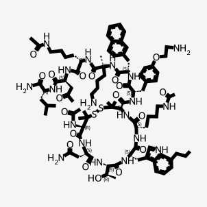 CCCc1cccc2c(C[C@@H]3NC(=O)[C@H]([C@@H](C)O)NC(=O)[C@H](CC(N)=O)NC(=O)[C@@H](NC(C)=O)C(C)(C)SSC(C)(C)[C@@H](C(=O)N[C@@H](Cc4ccc(OCCN)cc4)C(=O)N[C@@H](Cc4ccc5ccccc5c4)C(=O)N[C@@](C)(CCCCN)C(=O)N[C@@H](CCCCNC(C)=O)C(=O)N[C@@H](CC(C)=O)C(=O)N[C@H](CC(C)C)C(N)=O)NC(=O)[C@H](CCCCNC(C)=O)NC3=O)c[nH]c12